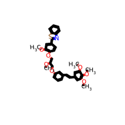 COc1cc(-c2nc3ccccc3s2)ccc1OCC(COc1cccc(C=Cc2cc(OC)c(OC)c(OC)c2)c1)OC